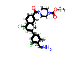 CCCOC(=O)N1CCN(C(=O)c2ccc3c(Cl)cc(-c4cc(F)c(CN)c(F)c4)nc3c2)CC1